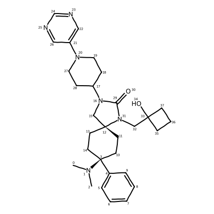 CN(C)[C@]1(c2ccccc2)CC[C@@]2(CC1)CN(C1CCN(c3cncnc3)CC1)C(=O)N2CC1(O)CCC1